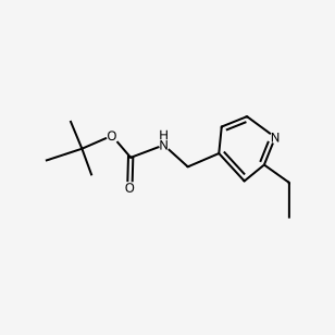 CCc1cc(CNC(=O)OC(C)(C)C)ccn1